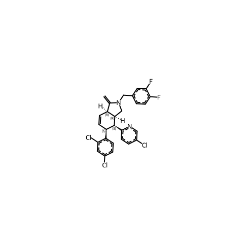 C=C1[C@@H]2C=C[C@H](c3ccc(Cl)cc3Cl)[C@H](c3ccc(Cl)cn3)[C@@H]2CN1Cc1ccc(F)c(F)c1